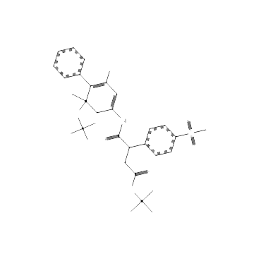 CC(C)(C)OC(=O)CC(C(=O)NC1=CC(Cl)=C(c2ccccc2)C(Cl)(OC(F)(F)F)C1)c1ccc(S(C)(=O)=O)cc1